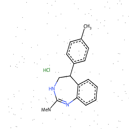 CNC1=Nc2ccccc2C(c2ccc(C)cc2)CN1.Cl